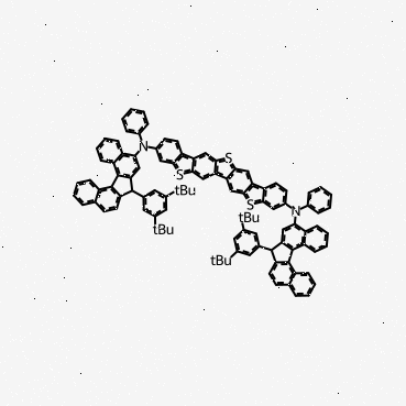 CC(C)(C)c1cc(C2c3ccc4ccccc4c3-c3c2cc(N(c2ccccc2)c2ccc4c(c2)sc2cc5c(cc24)sc2cc4c(cc25)sc2cc(N(c5ccccc5)c5cc6c(c7ccccc57)-c5c(ccc7ccccc57)C6c5cc(C(C)(C)C)cc(C(C)(C)C)c5)ccc24)c2ccccc32)cc(C(C)(C)C)c1